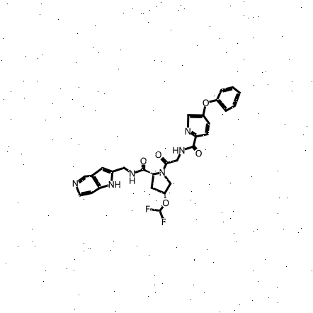 O=C(NCC(=O)N1C[C@H](OC(F)F)C[C@H]1C(=O)NCc1cc2cnccc2[nH]1)c1ccc(Oc2ccccc2)cn1